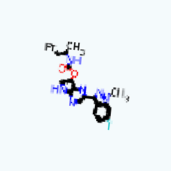 CC(C)CC(C)NC(=O)Oc1c[nH]c2ncc(-c3nn(C)c4cc(F)ccc34)nc12